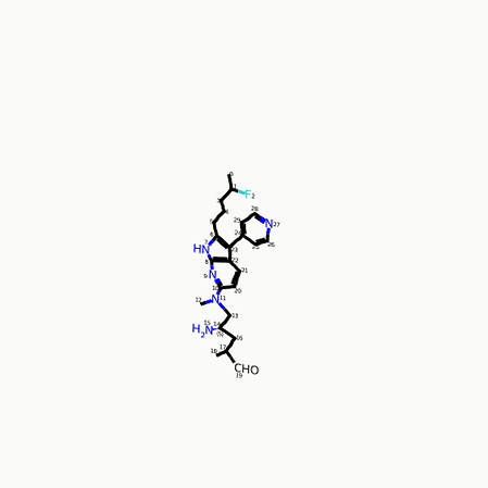 CC(F)CCCc1[nH]c2nc(N(C)C[C@@H](N)CC(C)C=O)ccc2c1-c1ccncc1